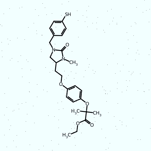 CCOC(=O)C(C)(C)Oc1ccc(OCCC2CN(Cc3ccc(S)cc3)C(=O)N2C)cc1